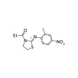 CCC(=O)N1CCS/C1=N\c1ccc([N+](=O)[O-])cc1C